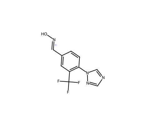 O/N=C/c1ccc(-n2cncn2)c(C(F)(F)F)c1